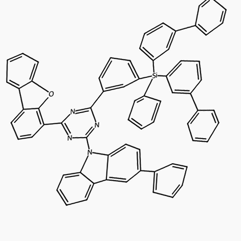 c1ccc(-c2cccc([Si](c3ccccc3)(c3cccc(-c4ccccc4)c3)c3cccc(-c4nc(-c5cccc6c5oc5ccccc56)nc(-n5c6ccccc6c6cc(-c7ccccc7)ccc65)n4)c3)c2)cc1